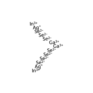 [Ag+].[Ag+].[Ga+3].[Ga+3].[In+3].[In+3].[Se-2].[Se-2].[Se-2].[Se-2].[Se-2].[Se-2].[Se-2]